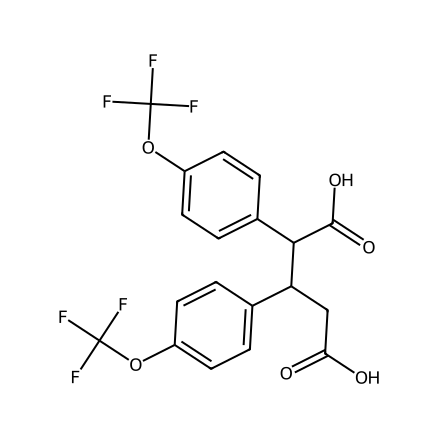 O=C(O)CC(c1ccc(OC(F)(F)F)cc1)C(C(=O)O)c1ccc(OC(F)(F)F)cc1